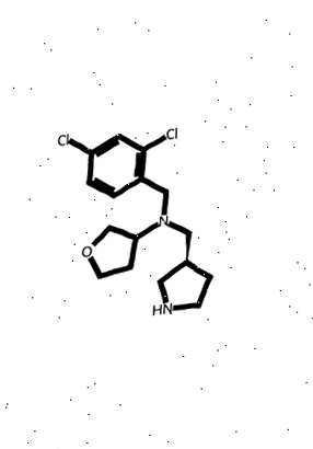 Clc1ccc(CN(C[C@H]2CCNC2)C2CCOC2)c(Cl)c1